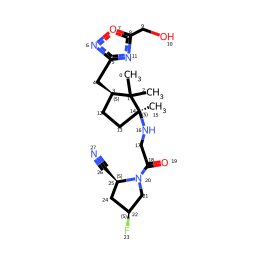 CC1(C)[C@H](Cc2noc(CO)n2)CC[C@]1(C)NCC(=O)N1C[C@@H](F)C[C@H]1C#N